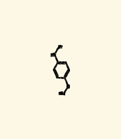 CCCCOc1ccc(NC(C)C)cc1